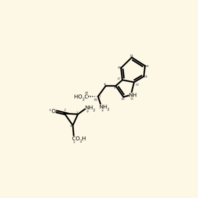 NC1C(=O)C1C(=O)O.N[C@@H](Cc1c[nH]c2ccccc12)C(=O)O